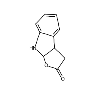 O=C1CC2c3ccccc3NC2O1